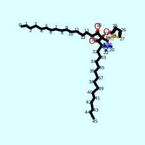 CCCCCCCCCCCCCCCC(=O)C(C[N+](C)(C)C)(Oc1ccc[pH]1)C(=O)CCCCCCCCCCCCCCC